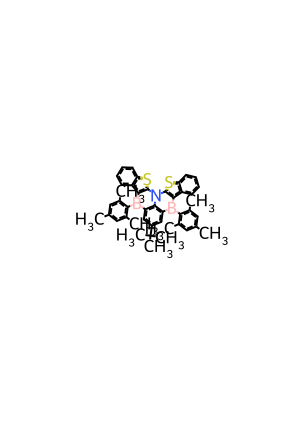 Cc1cc(C)c(B2c3cc(C(C)(C)C)cc4c3N(c3sc5ccccc5c32)c2sc3ccccc3c2B4c2c(C)cc(C)cc2C)c(C)c1